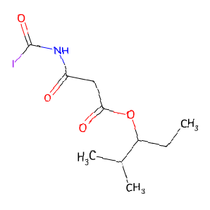 CCC(OC(=O)CC(=O)NC(=O)I)C(C)C